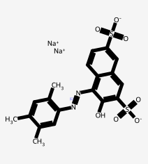 Cc1cc(C)c(/N=N/c2c(O)c(S(=O)(=O)[O-])cc3cc(S(=O)(=O)[O-])ccc23)cc1C.[Na+].[Na+]